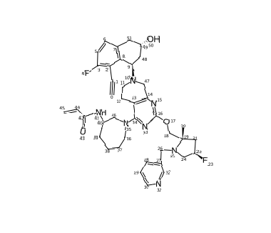 C#Cc1c(F)ccc2c1[C@H](N1CCc3c(nc(OC[C@]4(C)C[C@@H](F)CN4Cc4cccnc4)nc3N3CCCCC(NC(=O)C=C)C3)C1)C[C@@H](O)C2